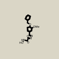 COc1cc(-c2nnc(C(=O)NO)o2)ccc1OCc1ccccc1